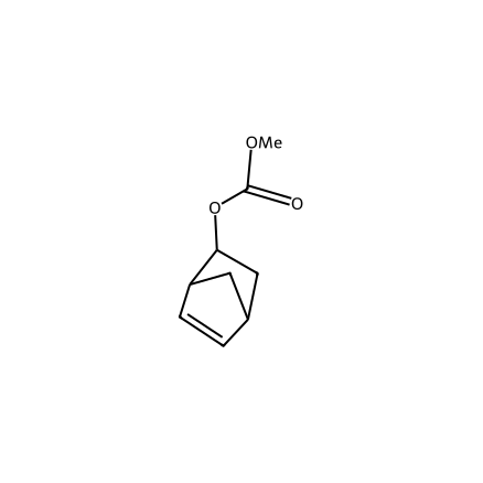 COC(=O)OC1CC2C=CC1C2